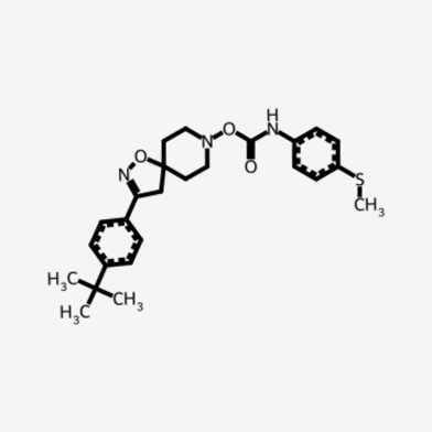 CSc1ccc(NC(=O)ON2CCC3(CC2)CC(c2ccc(C(C)(C)C)cc2)=NO3)cc1